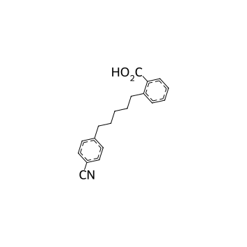 N#Cc1ccc(CCCCCc2ccccc2C(=O)O)cc1